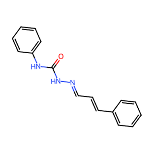 O=C(N/N=C/C=C/c1ccccc1)Nc1ccccc1